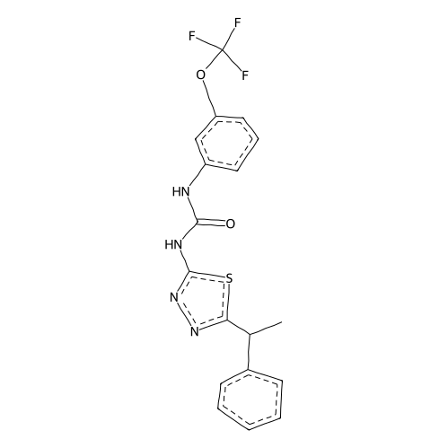 CC(c1ccccc1)c1nnc(NC(=O)Nc2cccc(OC(F)(F)F)c2)s1